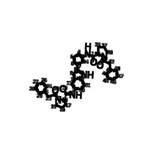 O=C(Nc1cccc(-c2cc3cc(NC(=O)[C@@H]4CCCN4C(=O)Cc4ccccc4)ccc3[nH]2)c1)[C@@H]1CCCN1C(=O)Cc1ccccc1